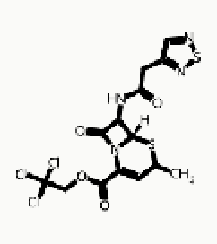 CC1C=C(C(=O)OCC(Cl)(Cl)Cl)N2C(=O)C(NC(=O)Cc3cnsn3)[C@@H]2S1